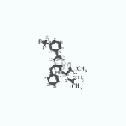 COC(=O)[C@H](CC(C)C)NC(=O)[C@@H](CC(=O)c1cccc(C(F)(F)F)c1)Cc1ccccc1